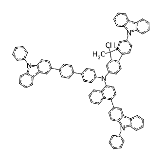 CC1(C)c2cc(N(c3ccc(-c4ccc(-c5ccc6c(c5)c5ccccc5n6-c5ccccc5)cc4)cc3)c3ccc(-c4ccc5c(c4)c4ccccc4n5-c4ccccc4)c4ccccc34)ccc2-c2ccc(-n3c4ccccc4c4ccccc43)cc21